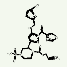 C=CCOC(=O)N1CCN(S(C)(=O)=O)CC1c1cc(NCc2ccc(Cl)s2)n(C(=O)c2cscn2)n1